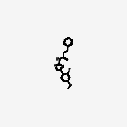 COc1ccc(-c2csc(NC(=O)CCc3ccccc3)n2)c(F)c1